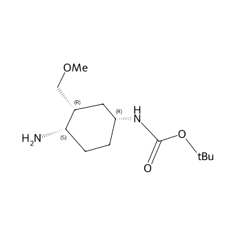 COC[C@@H]1C[C@H](NC(=O)OC(C)(C)C)CC[C@@H]1N